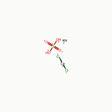 O=S(=O)(O)O.[Cl][Ca][Cl].[KH]